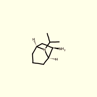 CC(C)N1[C@H]2CCC[C@@H]1[C@H](N)C2